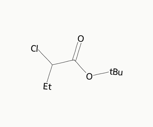 CCC(Cl)C(=O)OC(C)(C)C